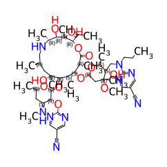 CCCN(C[C@]1(O)[C@H](C)O[C@@H](O[C@H]2[C@H](C)[C@@H](O[C@@H]3O[C@H](C)C[C@H](NC)[C@H]3Oc3ncc(C#N)cn3)[C@](C)(O)C[C@@H](C)CN[C@H](C)[C@@H](O)[C@](C)(O)[C@@H](CC)OC(=O)[C@@H]2C)C[C@@]1(C)OC)c1ncc(C#N)cn1